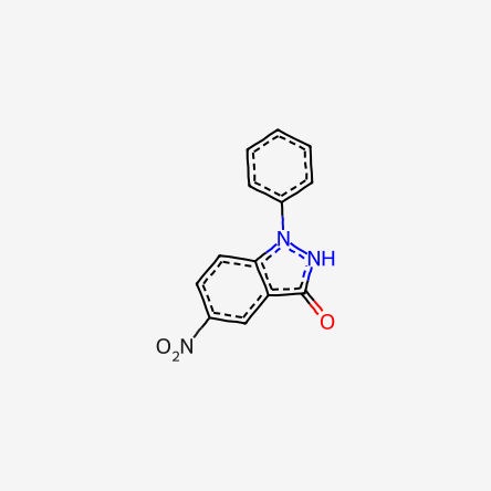 O=c1[nH]n(-c2ccccc2)c2ccc([N+](=O)[O-])cc12